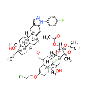 C#C[C@]1(O)CC[C@H]2[C@@H]3CCC4=Cc5c(cnn5-c5ccc(F)cc5)C[C@]4(C)[C@H]3CC[C@@]21C.CC(=O)OCC(=O)[C@@]12OC(C)(C)O[C@@H]1C[C@H]1[C@@H]3CC(C=O)=C4C=C(OCCCl)CC[C@]4(C)[C@@]3(F)[C@@H](O)C[C@@]12C